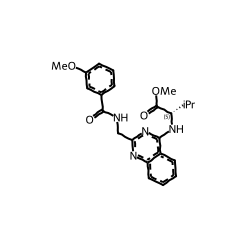 COC(=O)[C@@H](Nc1nc(CNC(=O)c2cccc(OC)c2)nc2ccccc12)C(C)C